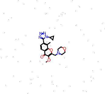 COc1c(CN2CCOCC2)oc2c(C)c(-c3nnnn3C3CC3)ccc2c1=O